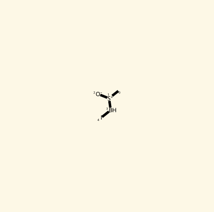 C[S+]([O-])BI